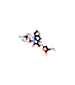 CC1=C[C@@H](O/C=C2/C(=O)N(C(=O)OC(C)(C)C)[C@@H]3c4ccsc4C[C@H]23)OC1=O